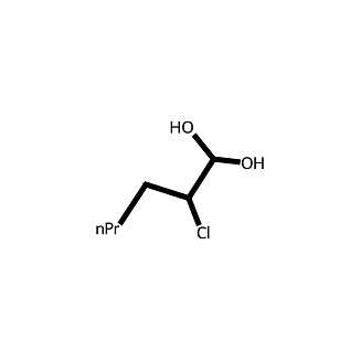 CCCCC(Cl)C(O)O